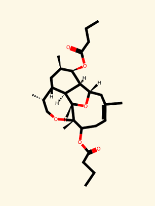 CCCC(=O)OC1C/C=C(/C)C[C@@H]2O[C@H]3[C@H]4[C@@H](C[C@@H](C)[C@@H](OC(=O)CCC)[C@H]42)[C@@H](C)CO[C@@]13C